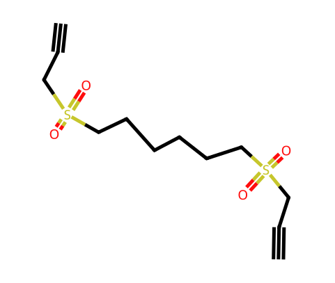 C#CCS(=O)(=O)CCCCCCS(=O)(=O)CC#C